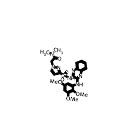 COc1cc(Nc2nc3ccccc3nc2NS(=O)(=O)c2ccn(CC(=O)N(C)C)n2)c(OC)c(OC)c1